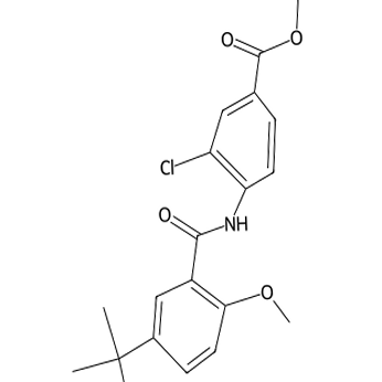 COC(=O)c1ccc(NC(=O)c2cc(C(C)(C)C)ccc2OC)c(Cl)c1